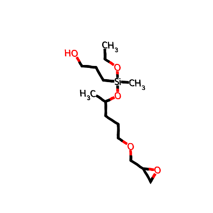 CCO[Si](C)(CCCO)OC(C)CCCOCC1CO1